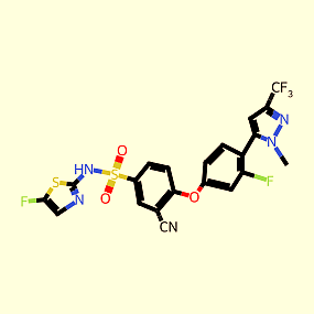 Cn1nc(C(F)(F)F)cc1-c1ccc(Oc2ccc(S(=O)(=O)Nc3ncc(F)s3)cc2C#N)cc1F